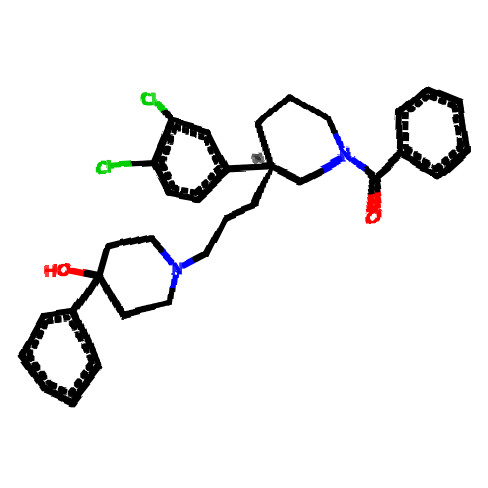 O=C(c1ccccc1)N1CCC[C@@](CCCN2CCC(O)(c3ccccc3)CC2)(c2ccc(Cl)c(Cl)c2)C1